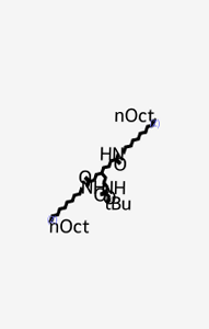 CCCCCCCC/C=C\CCCCCCCCNC(=O)CCCC(CCNC(=O)OC(C)(C)C)CCC(=O)NCCCCCCCC/C=C\CCCCCCCC